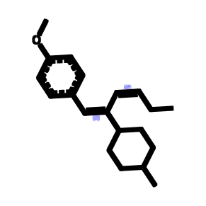 CC/C=C\C(=C/c1ccc(OC)cc1)C1CCC(C)CC1